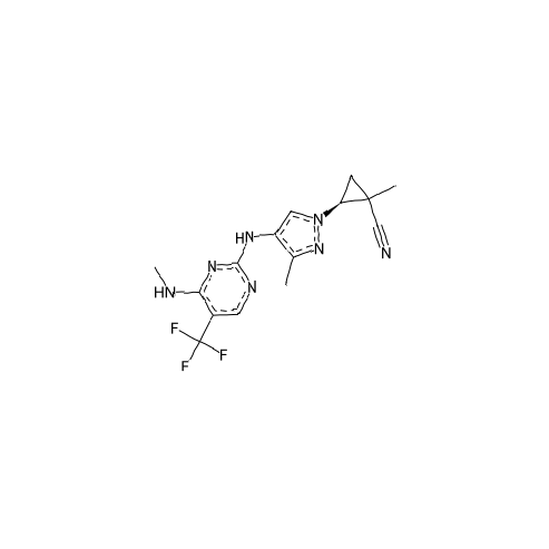 CNc1nc(Nc2cn([C@H]3CC3(C)C#N)nc2C)ncc1C(F)(F)F